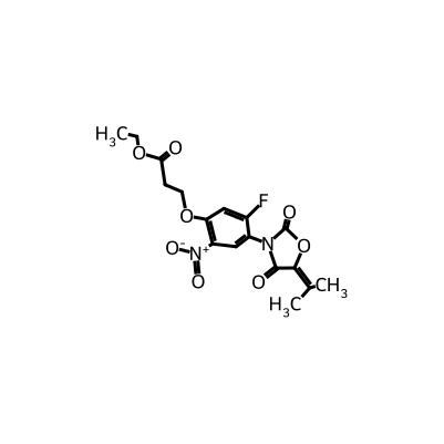 CCOC(=O)CCOc1cc(F)c(N2C(=O)OC(=C(C)C)C2=O)cc1[N+](=O)[O-]